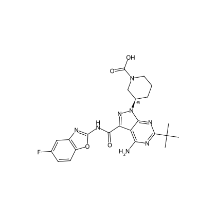 CC(C)(C)c1nc(N)c2c(C(=O)Nc3nc4cc(F)ccc4o3)nn([C@@H]3CCCN(C(=O)O)C3)c2n1